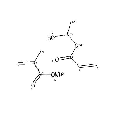 C=C(C)C(=O)OC.C=CC(=O)OC(C)O